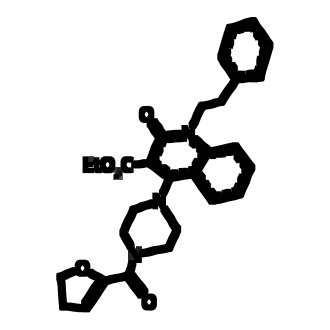 CCOC(=O)c1c(N2CCN(C(=O)C3=CCCO3)CC2)c2ccccc2n(CCc2ccccc2)c1=O